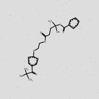 CC(C#N)(CCC(=O)OCCOc1ccc(C(=O)C(C)(C)O)cc1)SC(=S)c1ccccc1